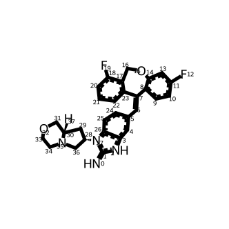 N=c1[nH]c2cc(/C=C3/c4ccc(F)cc4OCc4c(F)cccc43)ccc2n1[C@H]1C[C@H]2COCCN2C1